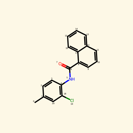 Cc1ccc(NC(=O)c2cccc3ccccc23)c(Cl)c1